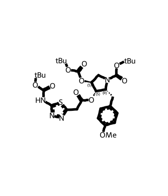 COc1ccc(C[C@@H]2[C@H](OC(=O)Cc3nnc(NC(=O)OC(C)(C)C)s3)[C@@H](OC(=O)OC(C)(C)C)CN2C(=O)OC(C)(C)C)cc1